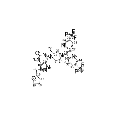 C[C@@H]1CN(c2nc(=O)n(C)c3c2nnn3C[C@H]2CCCO2)[C@@H](C)CN1C(c1ccc(C(F)(F)F)cn1)c1ccc(C(F)(F)F)cn1